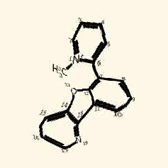 C[n+]1ccccc1-c1cccc2c1oc1cccnc12